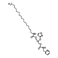 CCCCCCCCCCCCCCCCCNC(=O)OC[C@H](COC(=O)NCc1ccccn1)Oc1ccon1